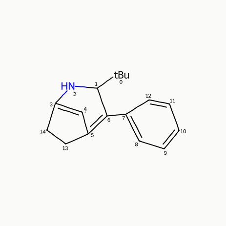 CC(C)(C)C1NC2=[C]C(=C1c1ccccc1)CC2